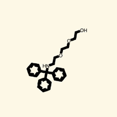 OCCOCCOCCNC(c1ccccc1)(c1ccccc1)c1ccccc1